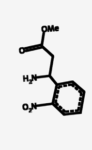 COC(=O)CC(N)c1ccccc1[N+](=O)[O-]